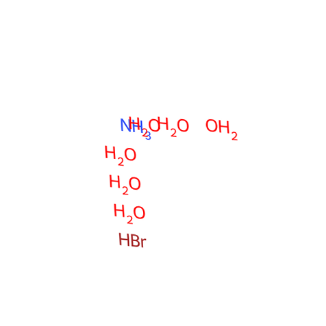 Br.N.O.O.O.O.O.O